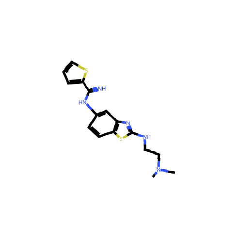 CN(C)CCNc1nc2cc(NC(=N)c3cccs3)ccc2s1